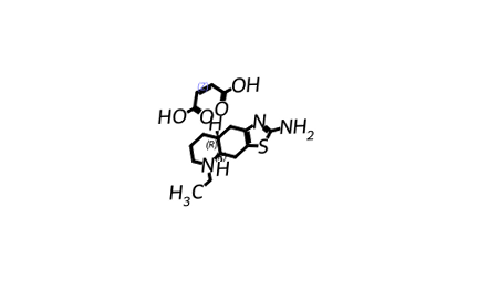 CCN1CCC[C@@H]2Cc3nc(N)sc3C[C@H]21.O=C(O)/C=C\C(=O)O